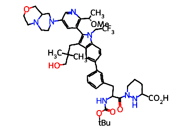 CO[C@@H](C)c1ncc(N2CCN3CCOCC3C2)cc1-c1c(CC(C)(C)CO)c2cc(-c3cccc(CC(NC(=O)OC(C)(C)C)C(=O)N4CCCC(C(=O)O)N4)c3)ccc2n1CC(F)(F)F